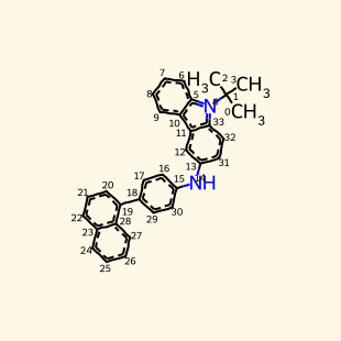 CC(C)(C)n1c2ccccc2c2cc(Nc3ccc(-c4cccc5ccccc45)cc3)ccc21